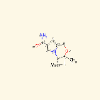 COCC1(C)Cn2cc(C(N)=O)cc2CO1